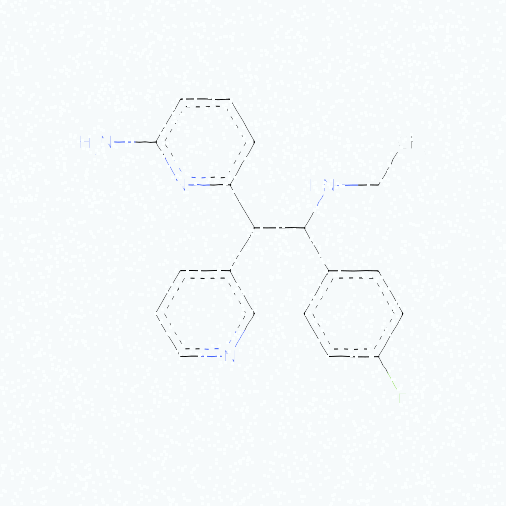 Nc1cccc(C(c2cccnc2)C(NCC(F)(F)F)c2ccc(F)cc2)n1